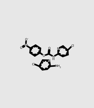 Nc1ccc(Cl)cn1.O=C(Nc1ccc(Cl)cn1)Oc1ccc([N+](=O)[O-])cc1